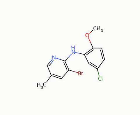 COc1ccc(Cl)cc1Nc1ncc(C)cc1Br